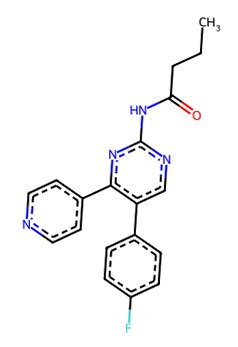 CCCC(=O)Nc1ncc(-c2ccc(F)cc2)c(-c2ccncc2)n1